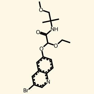 CCOC(Oc1ccc2ncc(Br)cc2c1)C(=O)NC(C)(C)COC